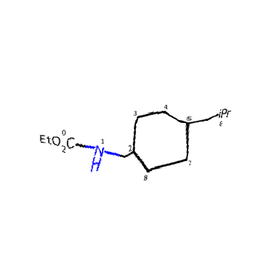 CCOC(=O)NC1CCC(C(C)C)CC1